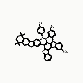 CC(C)(C)c1ccc(N2B3c4cc(C(C)(C)C)ccc4-n4c5ccc(C(C)(C)C)cc5c5c6c(sc7ccccc76)c(c3c54)-c3cc4oc5cc6c(cc5c4cc32)C(C)(C)CCC6(C)C)cc1